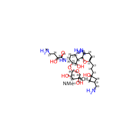 CN[C@@H]1[C@@H](O)[C@@H](O[C@@H]2[C@@H](O)[C@H](C3OC(CCCC4(O)CC(CN)C4)=CC[C@H]3N)[C@@H](N)C[C@H]2NC(=O)[C@@H](O)CCN)OC[C@]1(C)O